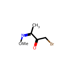 CON=C(C)C(=O)CBr